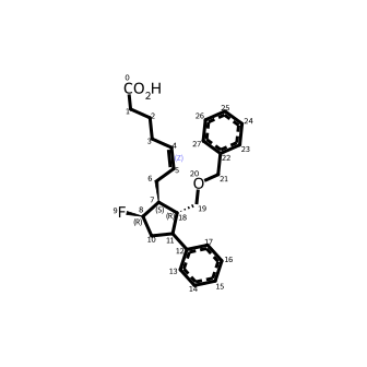 O=C(O)CCC/C=C\C[C@@H]1[C@H](F)CC(c2ccccc2)[C@H]1COCc1ccccc1